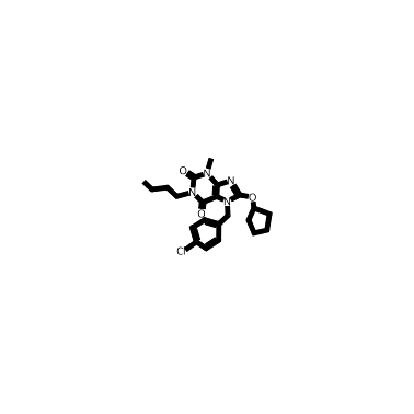 CCCCn1c(=O)c2c(nc(OC3CCCC3)n2Cc2ccc(Cl)cc2)n(C)c1=O